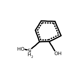 O[SiH2]c1ccccc1O